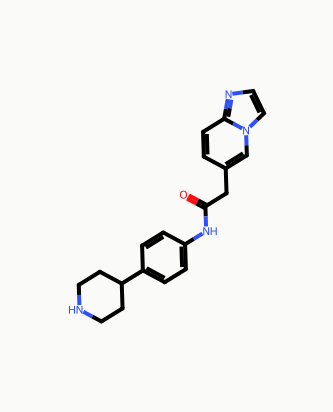 O=C(Cc1ccc2nccn2c1)Nc1ccc(C2CCNCC2)cc1